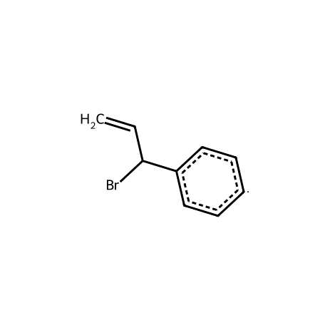 C=CC(Br)c1cc[c]cc1